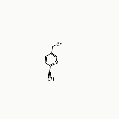 C#Cc1ccc(CBr)cn1